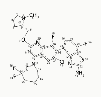 CN1CCC[C@H]1COc1nc(N2CCCCC(F)(F)C2)c2cc(Cl)c(-c3ccc(F)c4sc(N)nc34)c(F)c2n1